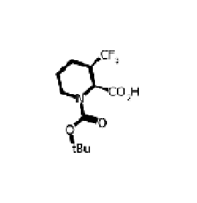 CC(C)(C)OC(=O)N1CCC[C@@H](C(F)(F)F)[C@H]1C(=O)O